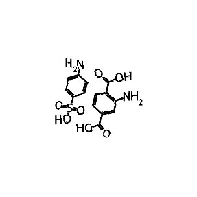 Nc1cc(C(=O)O)ccc1C(=O)O.Nc1ccc(S(=O)(=O)O)cc1